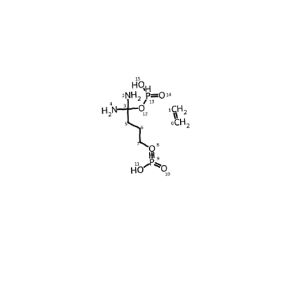 C=C.NC(N)(CCCO[PH](=O)O)O[PH](=O)O